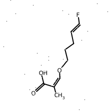 CC(=COCCCC=CF)C(=O)O